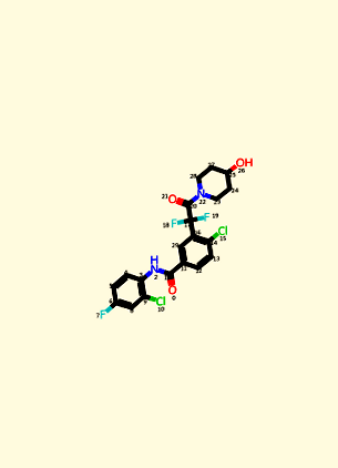 O=C(Nc1ccc(F)cc1Cl)c1ccc(Cl)c(C(F)(F)C(=O)N2CCC(O)CC2)c1